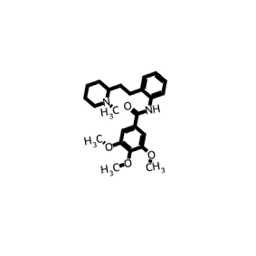 COc1cc(C(=O)Nc2ccccc2CCC2CCCCN2C)cc(OC)c1OC